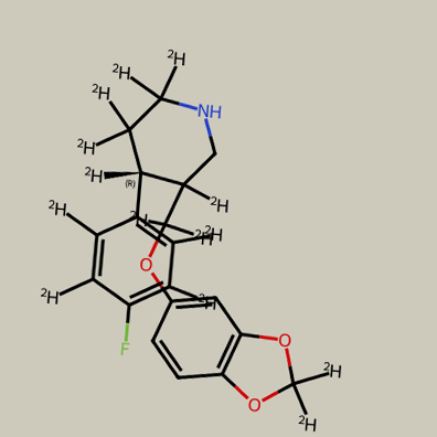 [2H]c1c([2H])c([C@]2([2H])C([2H])([2H])C([2H])([2H])NCC2([2H])C([2H])([2H])Oc2ccc3c(c2)OC([2H])([2H])O3)c([2H])c([2H])c1F